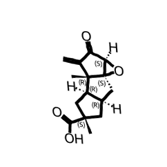 C=C1C(=O)[C@H]2O[C@]23C[C@H]2C[C@](C)(C(=O)O)C[C@H]2[C@]13C